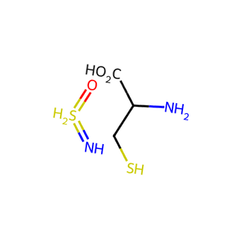 N=[SH2]=O.NC(CS)C(=O)O